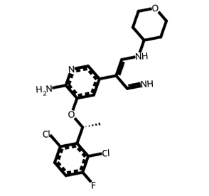 C[C@@H](Oc1cc(/C(C=N)=C/NC2CCOCC2)cnc1N)c1c(Cl)ccc(F)c1Cl